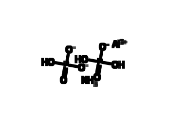 N.O=P([O-])(O)O.O=P([O-])([O-])O.[Al+3]